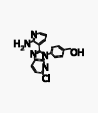 Nc1ncccc1-c1nc2ccc(Cl)nc2n1-c1ccc(CO)cc1